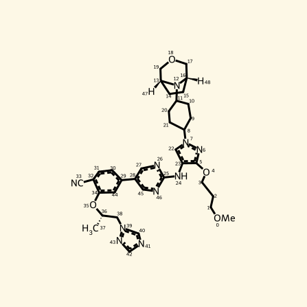 COCCCOc1nn(C2CCC(N3[C@@H]4CC[C@H]3COC4)CC2)cc1Nc1ncc(-c2ccc(C#N)c(O[C@@H](C)Cn3cncn3)c2)cn1